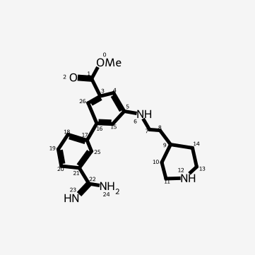 COC(=O)c1cc(NCCC2CCNCC2)cc(-c2cccc(C(=N)N)c2)c1